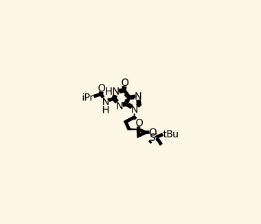 CC(C)C(=O)Nc1nc2c(ncn2[C@H]2CC[C@@]3(CC3O[Si](C)(C)C(C)(C)C)O2)c(=O)[nH]1